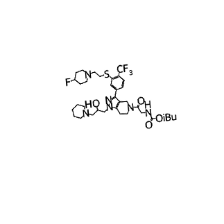 CC(C)COC(=O)NCC(=O)N1CCc2c(c(-c3ccc(C(F)(F)F)c(SCCN4CCC(F)CC4)c3)nn2CC(O)CN2CCCCC2)C1